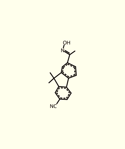 CC(=NO)c1ccc2c(c1)C(C)(C)c1cc(C#N)ccc1-2